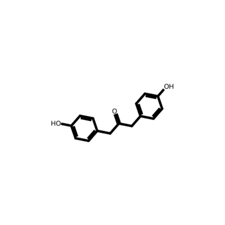 O=C(Cc1ccc(O)cc1)Cc1ccc(O)cc1